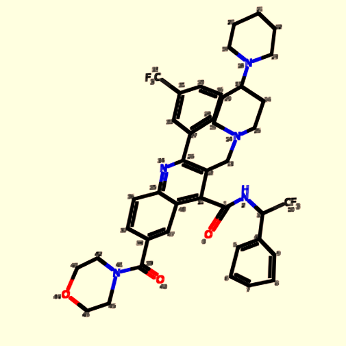 O=C(NC(c1ccccc1)C(F)(F)F)c1c(CN2CCC(N3CCCCC3)CC2)c(-c2cccc(C(F)(F)F)c2)nc2ccc(C(=O)N3CCOCC3)cc12